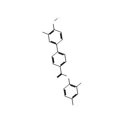 CCCCCCCOc1ccc(-c2ccc(C(=O)Oc3ccc(CCCCCC)cc3F)cc2)cc1F